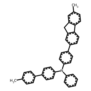 Cc1ccc(-c2ccc(N(c3ccccc3)c3ccc(-c4ccc5c(c4)Cc4cc(C)ccc4-5)cc3)cc2)cc1